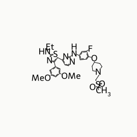 CCNc1nc(-c2cc(OC)cc(OC)c2)c(-c2ccnc(Nc3ccc(OC4CCN(CCS(C)(=O)=O)CC4)c(F)c3)n2)s1